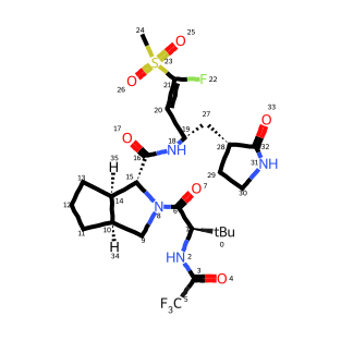 CC(C)(C)[C@@H](NC(=O)C(F)(F)F)C(=O)N1C[C@H]2CCC[C@H]2[C@@H]1C(=O)N[C@H](/C=C(\F)S(C)(=O)=O)C[C@H]1CCNC1=O